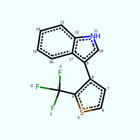 FC(F)(F)c1sccc1-c1c[nH]c2ccccc12